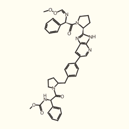 COO/C=N\[C@@H](C(=O)N1CCC[C@H]1c1nc2cc(-c3ccc(CC4CCCN4C(=O)[C@H](NC(=O)OC)c4ccccc4)cc3)cnc2[nH]1)c1ccccc1